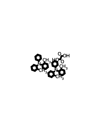 Cc1ccccc1N(c1ccccc1)c1ccccc1C.Cc1ccccc1N(c1ccccc1)c1ccccc1C.O=C(O)C(=O)O